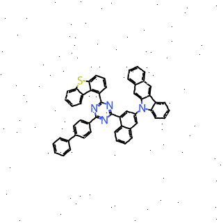 c1ccc(-c2ccc(-c3nc(-c4cc(-n5c6ccccc6c6cc7ccccc7cc65)cc5ccccc45)nc(-c4cccc5sc6ccccc6c45)n3)cc2)cc1